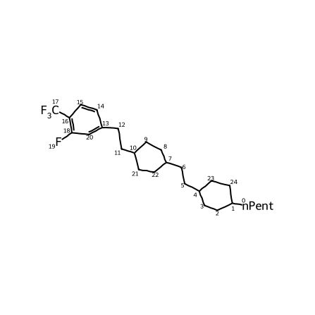 CCCCCC1CCC(CCC2CCC(CCc3ccc(C(F)(F)F)c(F)c3)CC2)CC1